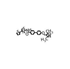 Cc1noc(C)c1COc1ccc(-c2ccc(C(=O)Nc3nc(-c4cccs4)cs3)cc2)cc1